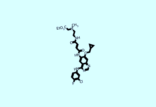 CCOC(=O)CN(C)CCNC(=O)C=CC(=O)Nc1cc2c(Nc3ccc(F)c(Cl)c3)ncnc2cc1OCC1CC1